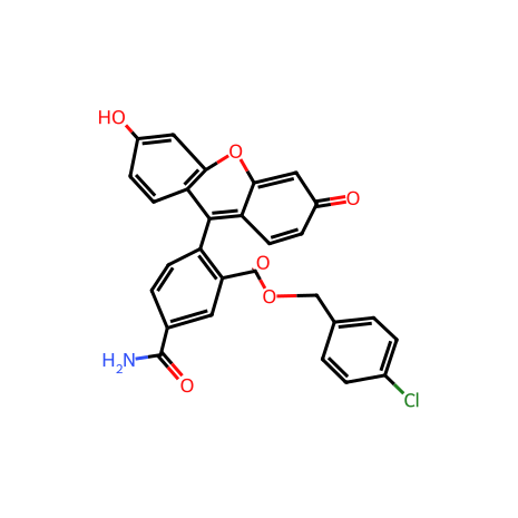 NC(=O)c1ccc(-c2c3ccc(=O)cc-3oc3cc(O)ccc23)c(C(=O)OCc2ccc(Cl)cc2)c1